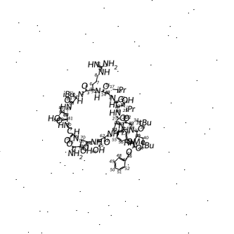 CC[C@H](C)[C@@H]1NC(=O)[C@@H](CCCNC(=N)N)NC(=O)[C@H](CC(C)C)NC(=O)[C@H]([C@H](O)C(C)C)NC(=O)[C@@H](NC(=O)[C@H](CC(C)(C)C)NC(=O)[C@@H](CC(C)(C)C)NC(=O)OCc2ccccc2)[C@H](c2ccc(OC)cc2)NC(=O)[C@H](CO)NC(=O)[C@H]([C@H](O)C(N)=O)NC(=O)CNC(=O)[C@H]([C@H](C)O)NC1=O